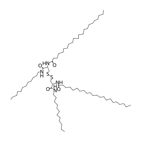 CCCCCCCCCCCCCCCCCCCCCC(=O)NC(CSSCC(NC(=O)CCCCCCCCCCCCCCCCCCCCC)C(=O)NCCCCCCCCCCCC)C(=O)NCCCCCCCCCCCC